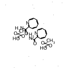 CS(=O)(=O)O.CS(=O)(=O)O.NC(=O)C1=N/C=C\C=C/C=C\1.NC(=O)C1=N/C=C\C=C/C=C\1